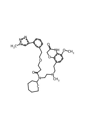 COc1ccc(CCN(C)CCN(C(=O)CCOCCc2cccc(-c3cn(C)nn3)c2)C2CCCCCC2)c2c1NC(=O)CO2